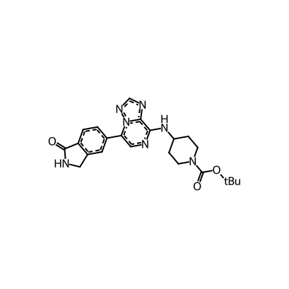 CC(C)(C)OC(=O)N1CCC(Nc2ncc(-c3ccc4c(c3)CNC4=O)n3ncnc23)CC1